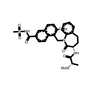 CN[C@@H](C)C(=O)N[C@H]1CCc2ccccc2N(Cc2c(OC)ccc3cc(C(=O)NS(C)(=O)=O)ccc23)C1=O